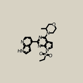 CCS(=O)(=O)n1ccc2c(N3CCOCC3C)nc(-c3ccnc4[nH]ccc34)nc21